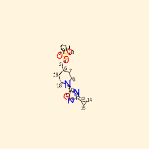 CS(=O)(=O)OCC1CCN(c2nc(C3CC3)no2)CC1